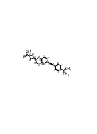 CC(C)c1ccc(C#Cc2ccc3c(n2)CCN(C2CC(C(=O)O)C2)C3)cc1